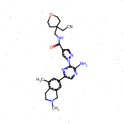 Cc1cc(-c2cnc(N)c(-n3cc(C(=O)NCC4(CC#N)CCOCC4)cn3)n2)cc2c1CCN(C)C2